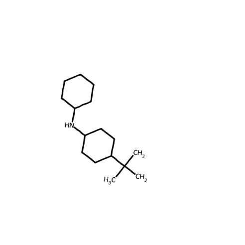 CC(C)(C)C1CCC(NC2CCCCC2)CC1